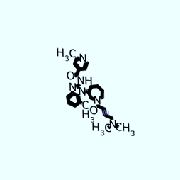 Cc1cc(C(=O)Nc2nc3cccc(C)c3n2[C@@H]2CCCCN(C(=O)/C=C/CN(C)C)C2)ccn1